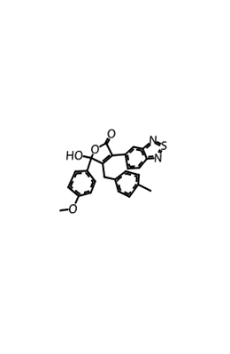 COc1ccc(C2(O)OC(=O)C(c3ccc4nsnc4c3)=C2Cc2ccc(C)cc2)cc1